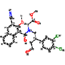 COC(=O)CN(CC(CC=O)c1ccc(Cl)c(Cl)c1)C(=O)c1c(OC)c(C#N)cc2ccccc12